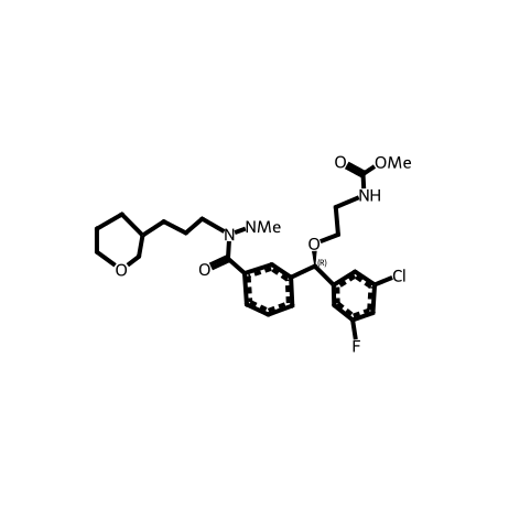 CNN(CCCC1CCCOC1)C(=O)c1cccc([C@@H](OCCNC(=O)OC)c2cc(F)cc(Cl)c2)c1